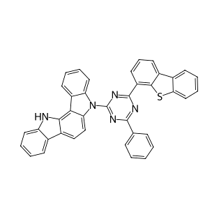 c1ccc(-c2nc(-c3cccc4c3sc3ccccc34)nc(-n3c4ccccc4c4c5[nH]c6ccccc6c5ccc43)n2)cc1